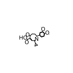 COc1ccc(C2CCC(=O)/C(C(=O)O)=C\C(C3CC3)=N/2)cc1OC